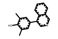 Cc1cc(-c2cncc3ccccc23)cc(C)c1O